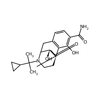 CC(C)(C1CC1)N1CC[C@]23CC(=O)CC[C@@]2(O)C1Cc1ccc(C(N)=O)c(O)c13